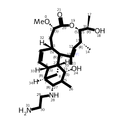 CO[C@H]1C[C@H]2C=C[C@H]3[C@H]4C[C@]2(/C(C)=C/[C@@H](C)[C@@H]([C@@H](C)O)OC1=O)[C@@H]3[C@H](O)C(C)[C@@H]4NCCN